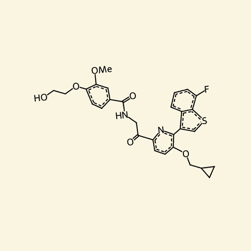 COc1cc(C(=O)NCC(=O)c2ccc(OCC3CC3)c(-c3csc4c(F)cccc34)n2)ccc1OCCO